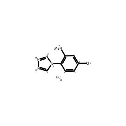 CNc1cc(Cl)ccc1-n1cnnn1.Cl